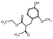 CCOC(=O)C(Cc1ccc(O)cc1OC)C(C)=O